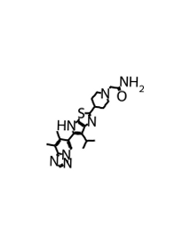 Cc1c(-c2[nH]c3sc(C4CCN(CC(N)=O)CC4)nc3c2C(C)C)cn2ncnc2c1C